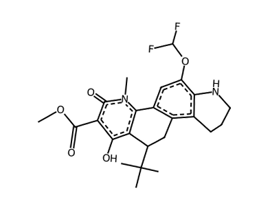 COC(=O)c1c(O)c2c(n(C)c1=O)-c1cc(OC(F)F)c3c(c1CC2C(C)(C)C)CCCN3